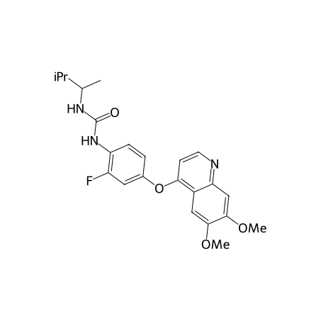 COc1cc2nccc(Oc3ccc(NC(=O)NC(C)C(C)C)c(F)c3)c2cc1OC